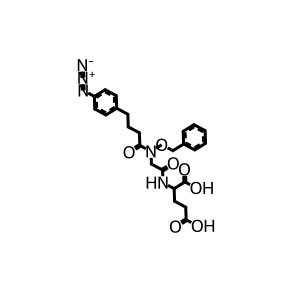 [N-]=[N+]=Nc1ccc(CCCC(=O)N(CC(=O)NC(CCC(=O)O)C(=O)O)OCc2ccccc2)cc1